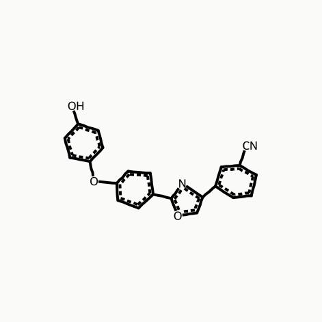 N#Cc1cccc(-c2coc(-c3ccc(Oc4ccc(O)cc4)cc3)n2)c1